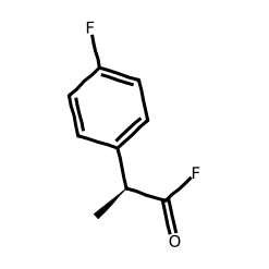 C[C@H](C(=O)F)c1ccc(F)cc1